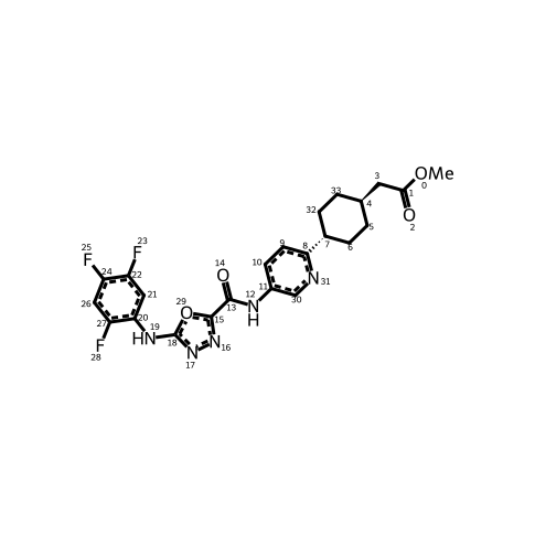 COC(=O)C[C@H]1CC[C@H](c2ccc(NC(=O)c3nnc(Nc4cc(F)c(F)cc4F)o3)cn2)CC1